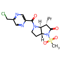 CC(C)[C@@H]1C(=O)N(S(C)(=O)=O)[C@@H]2CCN(C(=O)c3cnc(CCl)cn3)[C@H]21